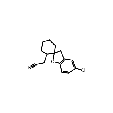 N#CC[C@H]1CCCC[C@]12Cc1cc(Cl)ccc1O2